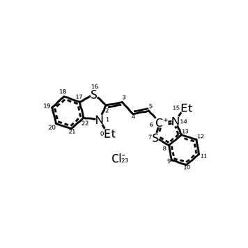 CCN1C(=CC=C[c+]2sc3ccccc3n2CC)Sc2ccccc21.[Cl-]